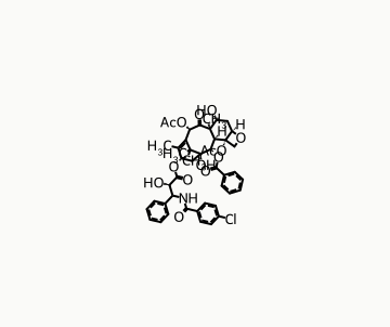 CC(=O)O[C@H]1C(=O)[C@@]2(C)[C@H]([C@H](OC(=O)c3ccccc3)[C@]3(O)C[C@H](OC(=O)[C@H](O)C(NC(=O)c4ccc(Cl)cc4)c4ccccc4)C(C)=C1C3(C)C)[C@]1(OC(C)=O)CO[C@@H]1C[C@@H]2O